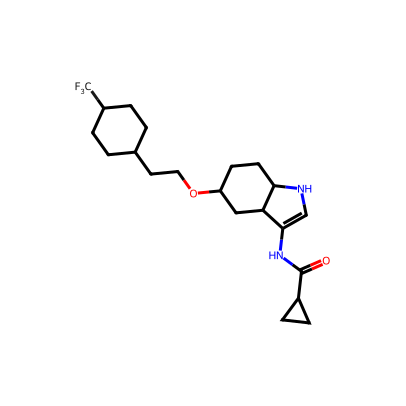 O=C(NC1=CNC2CCC(OCCC3CCC(C(F)(F)F)CC3)CC12)C1CC1